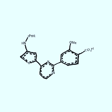 CCCCCNc1csc(-c2ccnc(-c3ccc(C(=O)O)c(OC)c3)n2)c1